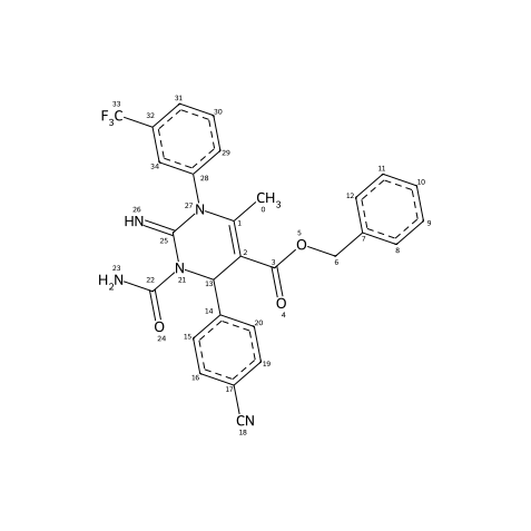 CC1=C(C(=O)OCc2ccccc2)C(c2ccc(C#N)cc2)N(C(N)=O)C(=N)N1c1cccc(C(F)(F)F)c1